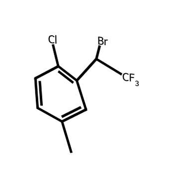 Cc1ccc(Cl)c(C(Br)C(F)(F)F)c1